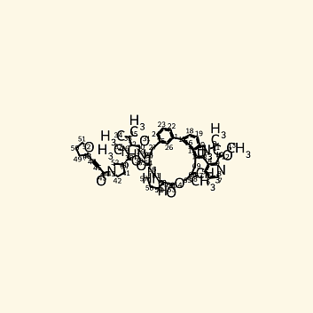 CCn1c(-c2cccnc2[C@H](C)OC)c2c3cc(ccc31)-c1cccc(c1)C[C@H](NC(=O)C(C(C)C)N(C)C(=O)[C@H]1CCN(C(=O)C#C[C@H]3CCCO3)C1)C(=O)N1CCC[C@H](N1)C(=O)OCC(C)(C)C2